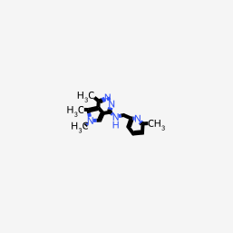 Cc1cccc(CNc2nnc(C)c3c(C)n(C)cc23)n1